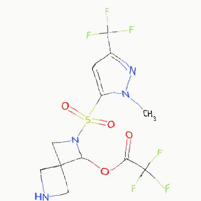 Cn1nc(C(F)(F)F)cc1S(=O)(=O)N1CC2(CNC2)C1OC(=O)C(F)(F)F